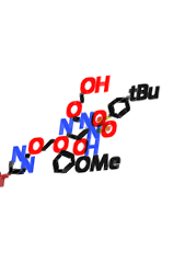 COc1ccccc1Oc1c(NS(=O)(=O)c2ccc(C(C)(C)C)cc2)nc(OCCO)nc1OCCOc1ncc(Br)cn1